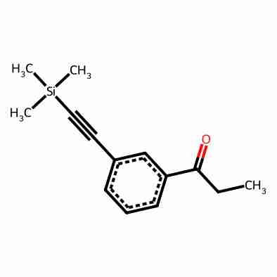 CCC(=O)c1cccc(C#C[Si](C)(C)C)c1